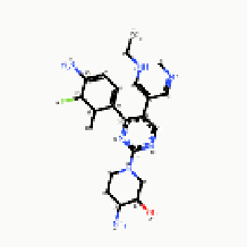 C/N=C\C(=C/NCC(F)(F)F)c1cnc(N2CCC(N)C(O)C2)nc1C1=CC=C(N)C(F)C1C